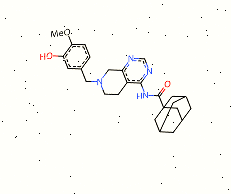 COc1ccc(CN2CCc3c(ncnc3NC(=O)C34CC5CC(CC(C5)C3)C4)C2)cc1O